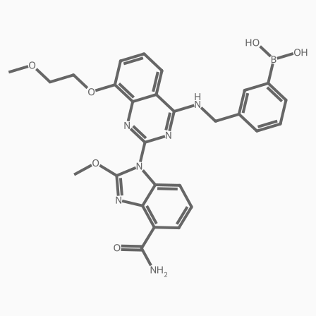 COCCOc1cccc2c(NCc3cccc(B(O)O)c3)nc(-n3c(OC)nc4c(C(N)=O)cccc43)nc12